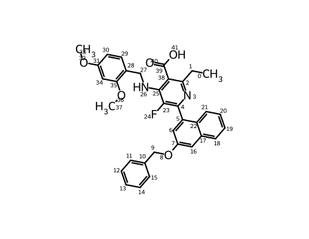 CCc1nc(-c2cc(OCc3ccccc3)cc3ccccc23)c(F)c(NCc2ccc(OC)cc2OC)c1C(=O)O